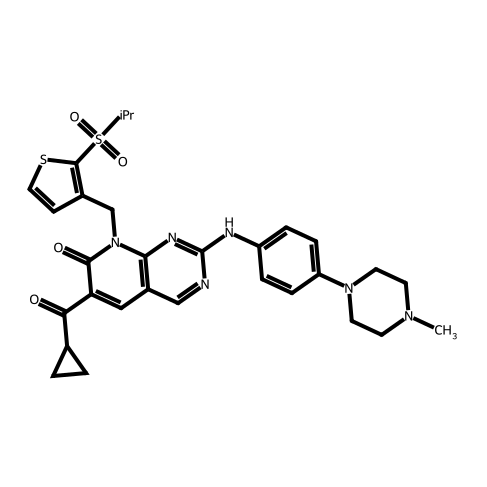 CC(C)S(=O)(=O)c1sccc1Cn1c(=O)c(C(=O)C2CC2)cc2cnc(Nc3ccc(N4CCN(C)CC4)cc3)nc21